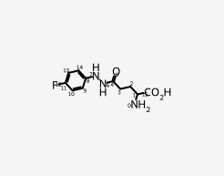 NC(CCC(=O)NNc1ccc(F)cc1)C(=O)O